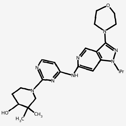 CC(C)n1nc(N2CCOCC2)c2cnc(Nc3ccnc(N4CCC(O)C(C)(C)C4)n3)cc21